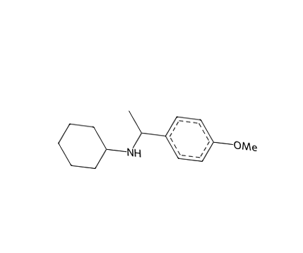 COc1ccc(C(C)NC2CCCCC2)cc1